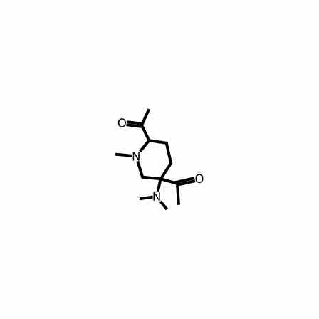 CC(=O)C1CCC(C(C)=O)(N(C)C)CN1C